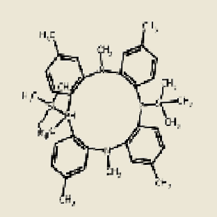 Cc1ccc2c(c1)N(C)c1cc(C)ccc1[PH](C)([Si](C)(C)C)c1ccc(C)cc1N(C)c1cc(C)ccc1P2[Si](C)(C)C